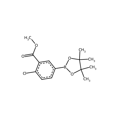 COC(=O)c1cc(B2OC(C)(C)C(C)(C)O2)ccc1Cl